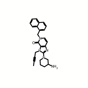 CC#CCn1c(N2CCCC(N)C2)nc2ccn(Cc3cccc4ccccc34)c(=O)c21